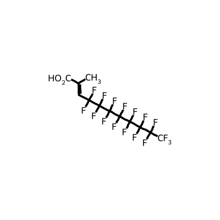 C/C(=C\C(F)(F)C(F)(F)C(F)(F)C(F)(F)C(F)(F)C(F)(F)C(F)(F)C(F)(F)F)C(=O)O